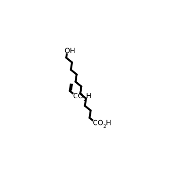 C=CC(=O)O.O=C(O)CCCCCCCCCCCO